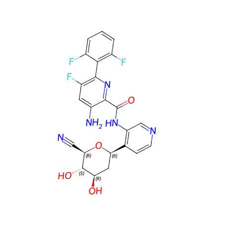 N#C[C@H]1O[C@@H](c2ccncc2NC(=O)c2nc(-c3c(F)cccc3F)c(F)cc2N)C[C@@H](O)[C@@H]1O